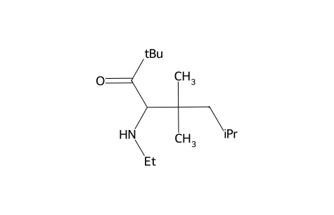 CCNC(C(=O)C(C)(C)C)C(C)(C)CC(C)C